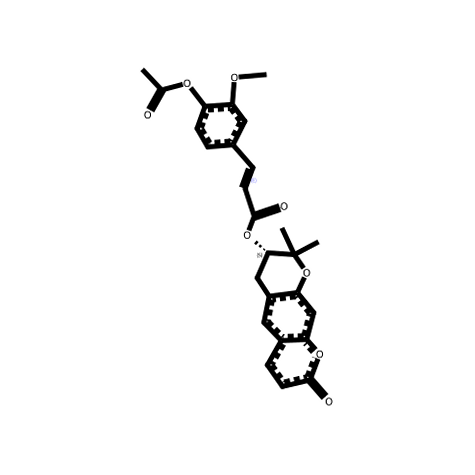 COc1cc(/C=C/C(=O)O[C@H]2Cc3cc4ccc(=O)oc4cc3OC2(C)C)ccc1OC(C)=O